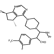 CC(C)NC(C(C=O)c1ccc(C(F)(F)F)c(F)c1)N1CCN(c2ncnc3c2[C@H](C)C[C@H]3O)CC1